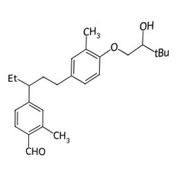 CCC(CCc1ccc(OCC(O)C(C)(C)C)c(C)c1)c1ccc(C=O)c(C)c1